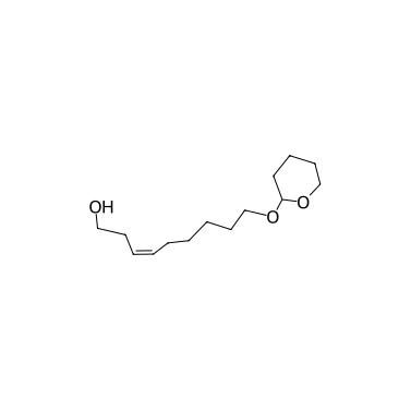 OCC/C=C\CCCCCOC1CCCCO1